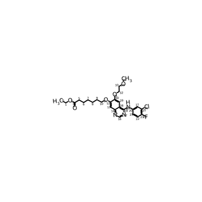 CCOC(=O)CCCCCCOc1cc2ncnc(Nc3ccc(F)c(Cl)c3)c2cc1OCCOC